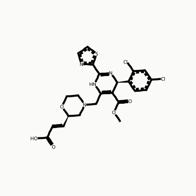 COC(=O)C1=C(CN2CCO[C@H](/C=C/C(=O)O)C2)NC(c2nccs2)=N[C@H]1c1ccc(Cl)cc1Cl